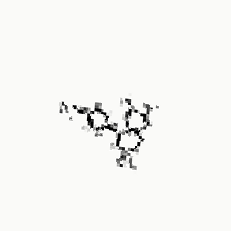 Cc1cc2c(cc1Br)CCN(C)CC2c1ccc([N+](=O)[O-])cc1